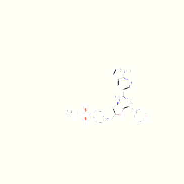 CS(=O)(=O)N1CCN(Cc2cc3nc(-c4cnc5[nH]ccc5c4)nc(N4CCOCC4)c3o2)CC1